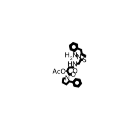 CC(=O)O[C@H](CC(=O)NCc1nc(Cc2ccccc2N)cs1)C(=O)N1CCCC1c1ccccc1